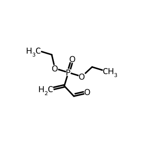 C=C(C=O)P(=O)(OCC)OCC